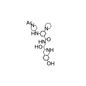 CC(=O)N1CCC(Nc2cc(C(=O)NC[C@@H](O)[C@@H]3Cc4ccc(O)cc4CN3)cc(N3CCCCC3)c2)CC1